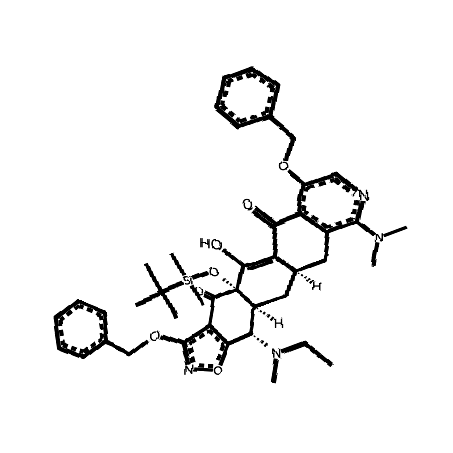 CCN(C)[C@@H]1c2onc(OCc3ccccc3)c2C(=O)[C@@]2(O[Si](C)(C)C(C)(C)C)C(O)=C3C(=O)c4c(OCc5ccccc5)cnc(N(C)C)c4C[C@H]3C[C@@H]12